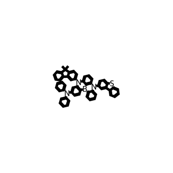 CC1(C)c2ccccc2-c2cc(N3c4cc(N(c5ccccc5)c5ccccc5)ccc4B4c5ccccc5N(c5ccc6sc7ccccc7c6c5)c5cccc3c54)ccc21